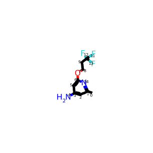 Cc1cc(N)cc(OCCC(F)(F)F)n1